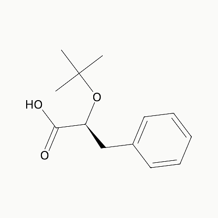 CC(C)(C)O[C@@H](Cc1ccccc1)C(=O)O